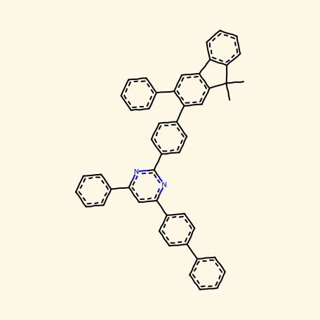 CC1(C)c2ccccc2-c2cc(-c3ccccc3)c(-c3ccc(-c4nc(-c5ccccc5)cc(-c5ccc(-c6ccccc6)cc5)n4)cc3)cc21